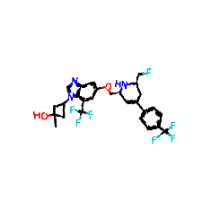 CC1(O)CC(n2cnc3cc(OC[C@@H]4C=C(c5ccc(C(F)(F)F)cc5)C[C@H](CF)N4)cc(C(F)(F)F)c32)C1